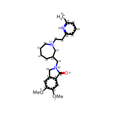 COc1cc2c(cc1OC)C(=O)N(CC1CCCCN(CCc3cccc(C)n3)C1)C2